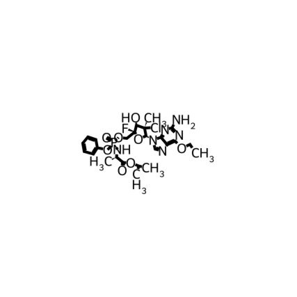 CCOc1nc(N)nc2c1ncn2[C@@H]1O[C@](F)(COP(=O)(N[C@@H](C)C(=O)OC(C)C)Oc2ccccc2)[C@@H](O)[C@@]1(C)Cl